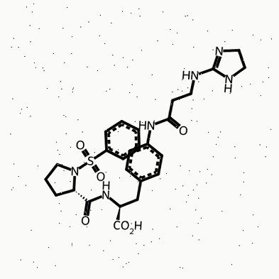 O=C(CCNC1=NCCN1)Nc1ccc(C[C@H](NC(=O)[C@@H]2CCCN2S(=O)(=O)c2ccccc2)C(=O)O)cc1